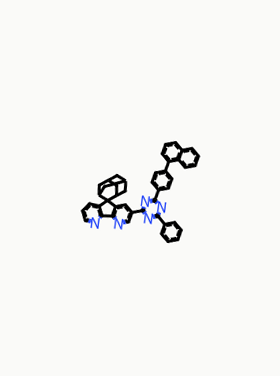 c1ccc(-c2nc(-c3ccc(-c4cccc5ccccc45)cc3)nc(-c3cnc4c(c3)C3(c5cccnc5-4)C4CC5CC(C4)CC3C5)n2)cc1